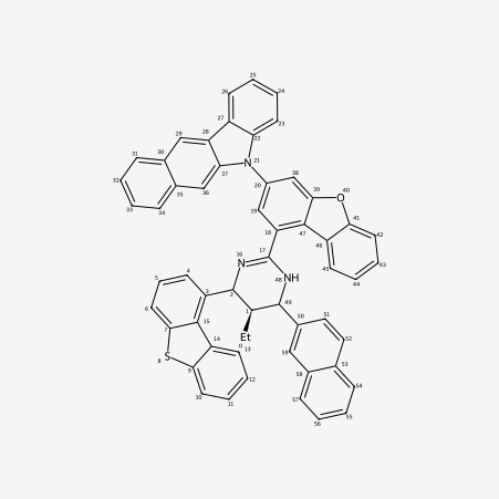 CC[C@H]1C(c2cccc3sc4ccccc4c23)N=C(c2cc(-n3c4ccccc4c4cc5ccccc5cc43)cc3oc4ccccc4c23)NC1c1ccc2ccccc2c1